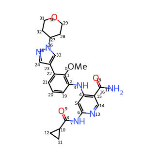 COc1c(Nc2cc(NC(=O)C3CC3)ncc2C(N)=O)cccc1-c1cnn(C2CCOCC2)c1